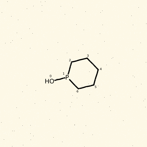 OP1CCCCC1